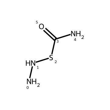 NNSC(N)=O